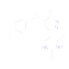 CC(C)c1ccc(C2CC2c2cc(-c3c[nH]c(=O)[nH]c3=O)nnc2Cl)cc1